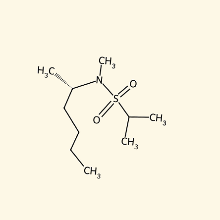 CCCC[C@H](C)N(C)S(=O)(=O)C(C)C